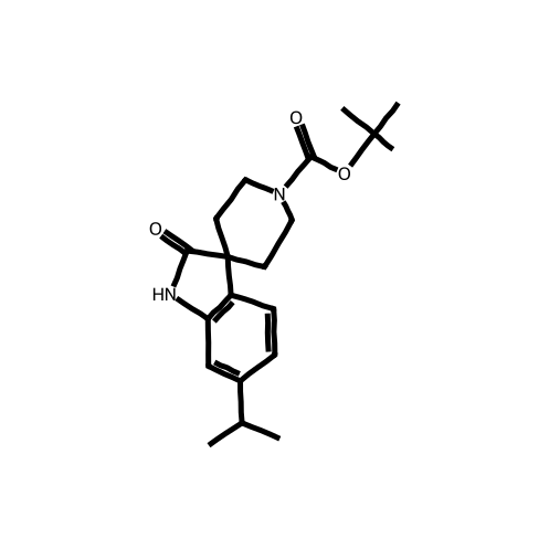 CC(C)c1ccc2c(c1)NC(=O)C21CCN(C(=O)OC(C)(C)C)CC1